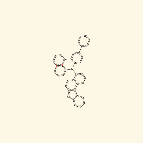 c1ccc(-c2ccc(N(c3ccccc3)c3cccc4c3ccc3sc5ccccc5c34)c(-c3ccccc3)c2)cc1